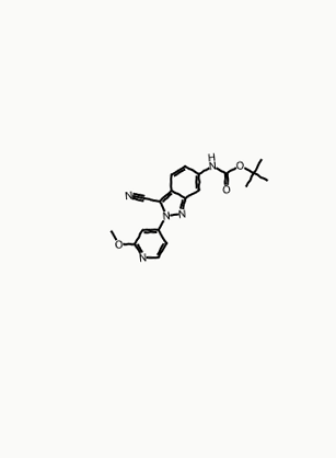 COc1cc(-n2nc3cc(NC(=O)OC(C)(C)C)ccc3c2C#N)ccn1